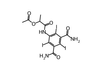 CC(=O)OC(C)C(=O)Nc1c(I)c(C(N)=O)c(I)c(C(N)=O)c1I